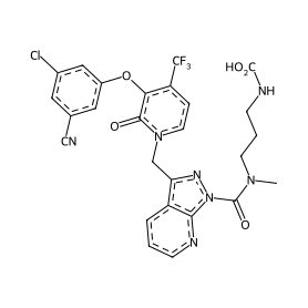 CN(CCCNC(=O)O)C(=O)n1nc(Cn2ccc(C(F)(F)F)c(Oc3cc(Cl)cc(C#N)c3)c2=O)c2cccnc21